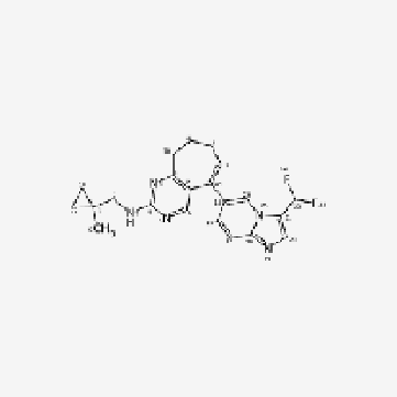 CC1(CNc2ncc3c(n2)CCCC=C3c2ccc3ncc(C(F)F)n3c2)CC1